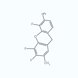 CCCc1ccc2c(c1F)Oc1c(cc(C)c(F)c1F)C2